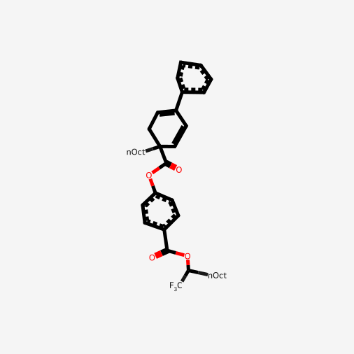 CCCCCCCCC(OC(=O)c1ccc(OC(=O)C2(CCCCCCCC)C=CC(c3ccccc3)=CC2)cc1)C(F)(F)F